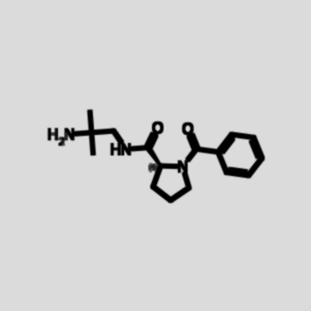 CC(C)(N)CNC(=O)[C@@H]1CCCN1C(=O)c1ccccc1